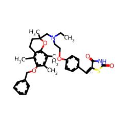 CCN(CCOc1ccc(/C=C2/SC(=O)NC2=O)cc1)CC1(C)CCc2c(C)c(OCc3ccccc3)c(C)c(C)c2O1